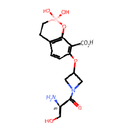 N[C@H](CO)C(=O)N1CC(Oc2ccc3c(c2C(=O)O)O[B-](O)(O)CC3)C1